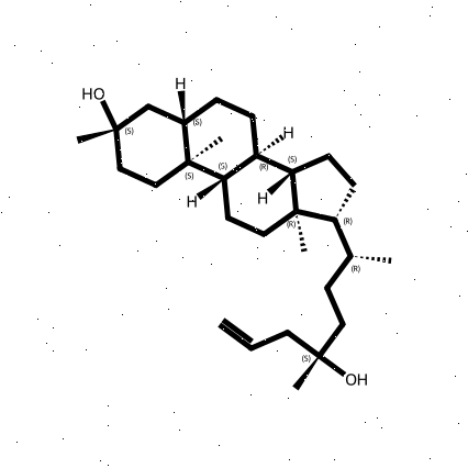 C=CC[C@@](C)(O)CC[C@@H](C)[C@H]1CC[C@H]2[C@@H]3CC[C@H]4C[C@@](C)(O)CC[C@]4(C)[C@H]3CC[C@]12C